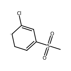 CS(=O)(=O)C1=CC[CH]C(Cl)=C1